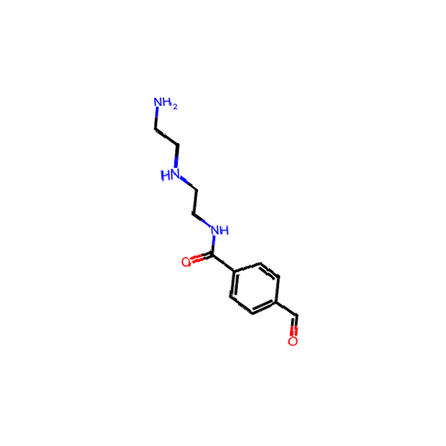 NCCNCCNC(=O)c1ccc(C=O)cc1